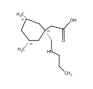 CCCNC[C@]1(CC(=O)O)C[C@H](C)C[C@H](C)C1